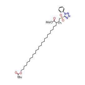 COC(=O)C(CCCCCCCCCCCCCCCCCCCCCCCCOC(=O)C(C)(C)C)[C@H](C)CS(=O)(=O)c1nnnn1-c1ccccc1